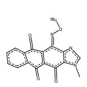 Cn1cnc2/c(=N\OC(C)(C)C)c3c(=O)c4ccccc4c(=O)c=3c(=O)c21